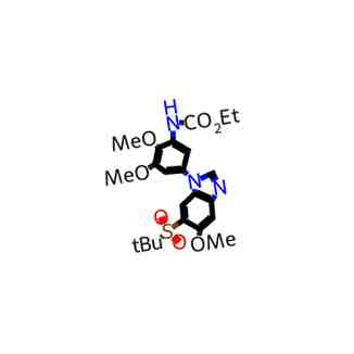 CCOC(=O)Nc1cc(-n2cnc3cc(OC)c(S(=O)(=O)C(C)(C)C)cc32)cc(OC)c1OC